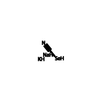 N#C[SeH].[KH].[NaH]